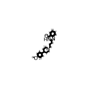 COc1ccc(C2CCN(CCCc3nc4ccccc4c(=O)[nH]3)CC2)cc1